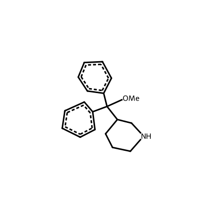 COC(c1ccccc1)(c1ccccc1)C1CCCNC1